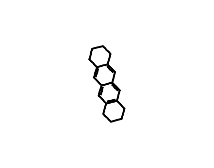 c1c2c(cc3cc4c(cc13)CCCC4)CCCC2